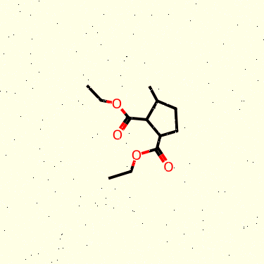 CCOC(=O)C1CCC(C)C1C(=O)OCC